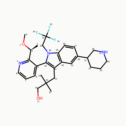 CO[C@@H](C)c1ncccc1-c1c(CC(C)(C)CO)c2cc(C3CCCNC3)ccc2n1CC(F)(F)F